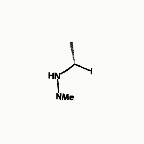 CNN[C@H](C)I